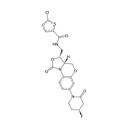 O=C(NC[C@@H]1OC(=O)N2c3ccc(N4CC[C@H](F)CC4=O)cc3OC[C@@H]12)c1ccc(Cl)s1